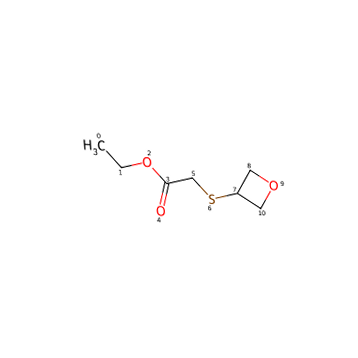 CCOC(=O)CSC1COC1